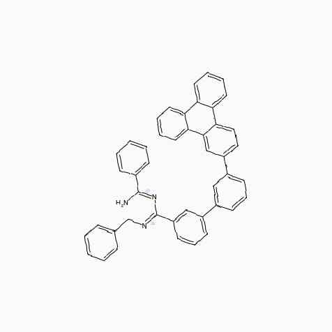 N/C(=N\C(=N/Cc1ccccc1)c1cccc(-c2cccc(-c3ccc4c5ccccc5c5ccccc5c4c3)c2)c1)c1ccccc1